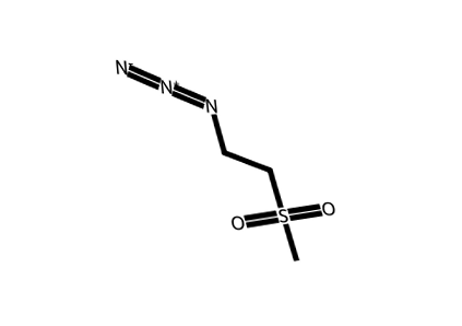 CS(=O)(=O)CCN=[N+]=[N-]